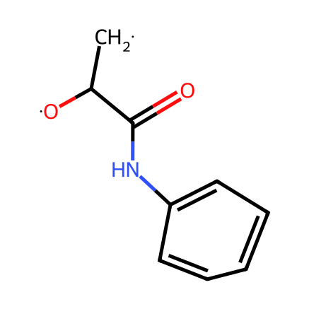 [CH2]C([O])C(=O)Nc1ccccc1